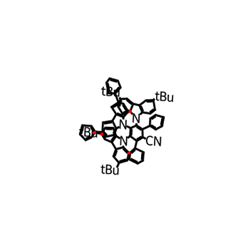 CC(C)(C)c1ccc2c(c1)c1cc(C(C)(C)C)ccc1n2-c1c(-c2ccccc2)c(C#N)c(-c2ccccc2)c(-n2c3ccc(C(C)(C)C)cc3c3cc(C(C)(C)C)ccc32)c1-n1c2ccc(-c3ccccc3)cc2c2cc(-c3ccccc3)ccc21